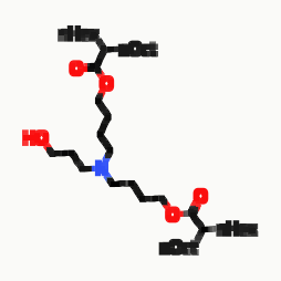 CCCCCCCCC(CCCCCC)C(=O)OCCCCN(CCCO)CCCCOC(=O)C(CCCCCC)CCCCCCCC